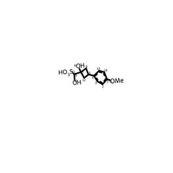 COc1ccc(C2CC(O)(C(O)S(=O)(=O)O)C2)cc1